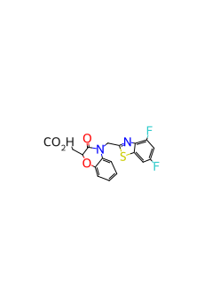 O=C(O)CC1Oc2ccccc2N(Cc2nc3c(F)cc(F)cc3s2)C1=O